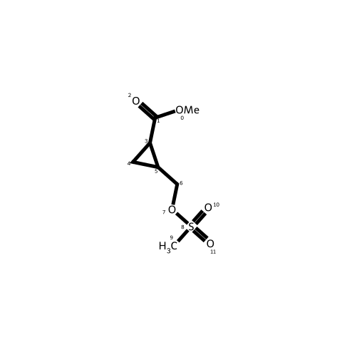 COC(=O)C1CC1COS(C)(=O)=O